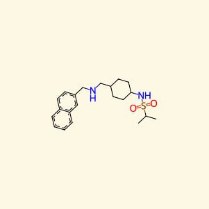 CC(C)S(=O)(=O)NC1CCC(CNCc2ccc3ccccc3c2)CC1